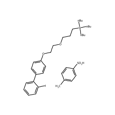 CCCC[Si](CCCC)(CCCC)CCCOCCOc1ccc(-c2ccccc2I)cc1.Cc1ccc(S(=O)(=O)O)cc1